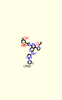 C=CC(=O)N1CCCC1c1cnc(N2CC(C3CC(C)(O)CCS3(=O)=O)C2)c2cnc(Nc3ccnc(N4CC[C@@H](OC)[C@@H](F)C4)n3)cc12